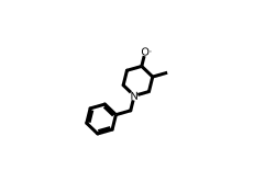 CC1CN(Cc2ccccc2)CCC1[O]